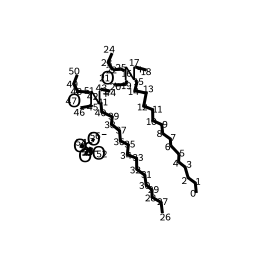 CCCCCCCCCCCCCCCC[N+]1(CC)CCOC(CC)C1.CCCCCCCCCCCCCCCC[N+]1(CC)CCOC(CC)C1.O=S(=O)([O-])[O-]